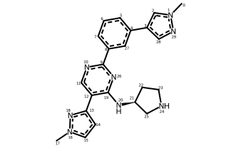 Cn1cc(-c2cccc(-c3ncc(-c4ccn(C)n4)c(N[C@H]4CCNC4)n3)c2)cn1